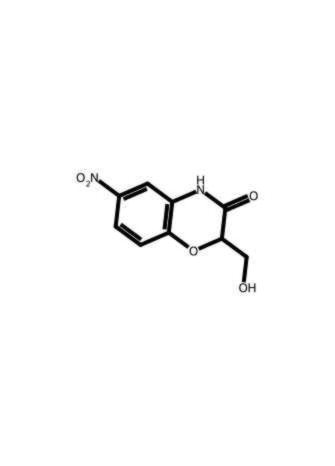 O=C1Nc2cc([N+](=O)[O-])ccc2OC1CO